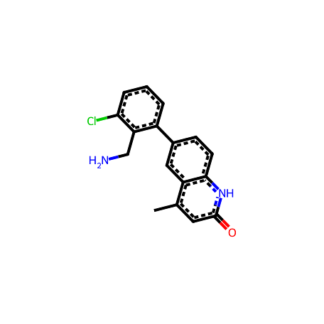 Cc1cc(=O)[nH]c2ccc(-c3cccc(Cl)c3CN)cc12